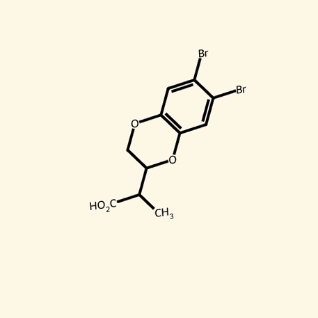 CC(C(=O)O)C1COc2cc(Br)c(Br)cc2O1